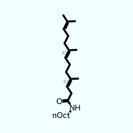 CCCCCCCCNC(=O)C/C=C(\C)CC/C=C(\C)CCC=C(C)C